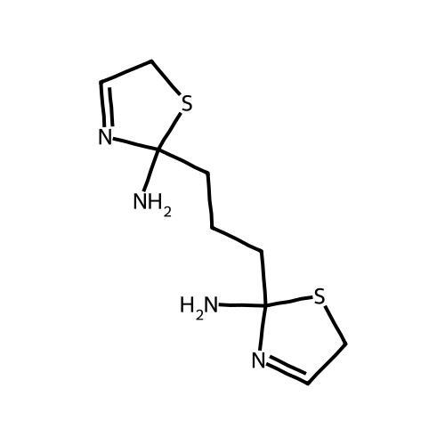 NC1(CCCC2(N)N=CCS2)N=CCS1